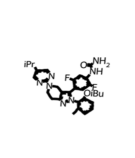 Cc1cccc(OCC(C)C)c1-n1nc2c(c1-c1cc(F)c(NC(N)=O)cc1F)CN(c1ncc(C(C)C)cn1)CC2